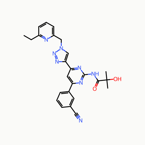 CCc1cccc(Cn2cc(-c3cc(-c4cccc(C#N)c4)nc(NC(=O)C(C)(C)O)n3)nn2)n1